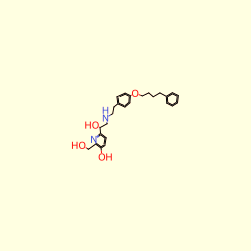 OCc1nc(C(O)CNCCc2ccc(OCCCCc3ccccc3)cc2)ccc1O